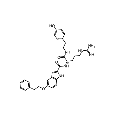 N=C(N)NCCC[C@@H](NC(=O)c1cc2cc(OCCc3ccccc3)ccc2[nH]1)C(=O)NCCc1ccc(O)cc1